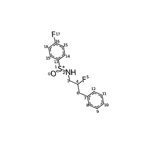 [O-][S+](NCC(F)Cc1ccccc1)c1ccc(F)cc1